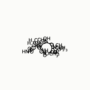 CCn1c(-c2cccnc2[C@H](C)OC)c2c3cc(ccc31)-c1cc(O)cc(c1)C[C@H](NC(=O)C(C(C)C)N(C)C(=O)C1CCN(S(=O)(=O)[C@H]3CN3)CC1)C(=O)N1CCC[C@H](N1)C(=O)OCC(C)(C)C2